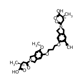 C#Cc1cc2c(cc1OCCCOc1cc3c(cc1OC)CN(C(=O)C[C@H](C)C(=O)O)C3)CN(C(=O)C[C@H](C)C(=O)O)C2